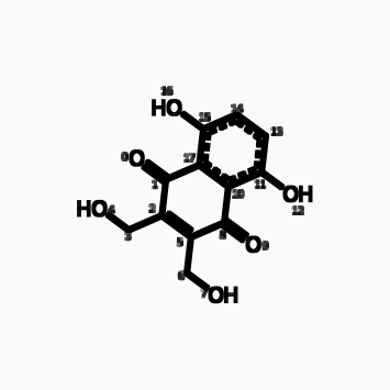 O=C1C(CO)=C(CO)C(=O)c2c(O)ccc(O)c21